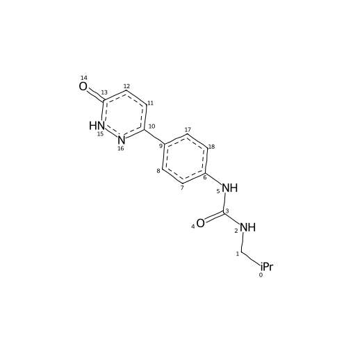 CC(C)CNC(=O)Nc1ccc(-c2ccc(=O)[nH]n2)cc1